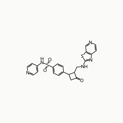 O=C1CC(c2ccc(S(=O)(=O)Nc3ccncc3)cc2)C1CNc1nc2ccncc2s1